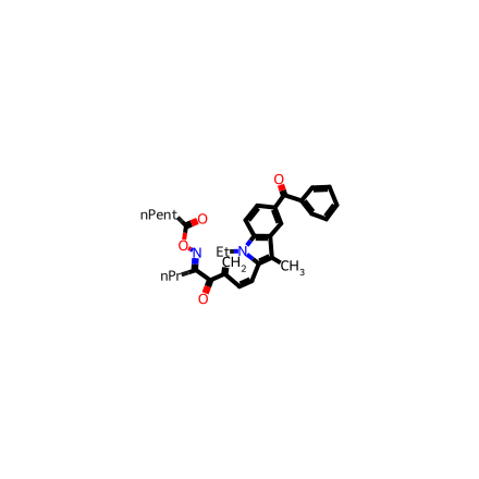 C=C(/C=C\c1c(C)c2cc(C(=O)c3ccccc3)ccc2n1CC)C(=O)/C(CCC)=N/OC(=O)CCCCC